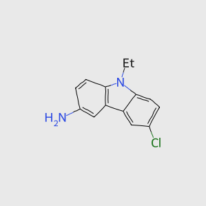 CCn1c2ccc(N)cc2c2cc(Cl)ccc21